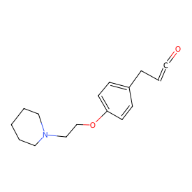 O=C=CCc1ccc(OCCN2CCCCC2)cc1